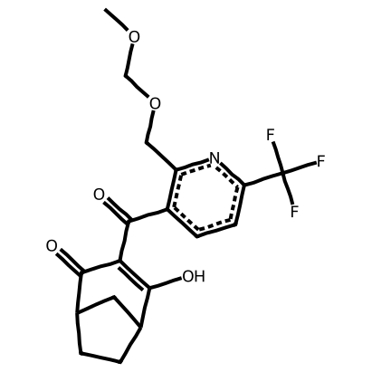 COCOCc1nc(C(F)(F)F)ccc1C(=O)C1=C(O)C2CCC(C2)C1=O